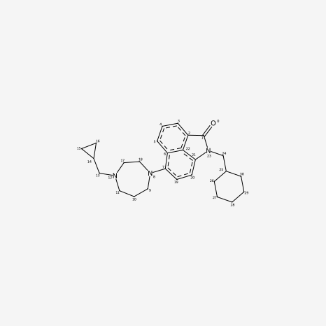 O=C1c2cccc3c(N4CCCN(CC5CC5)CC4)ccc(c23)N1CC1CCCCC1